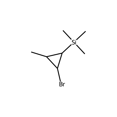 CC1C(Br)C1[Si](C)(C)C